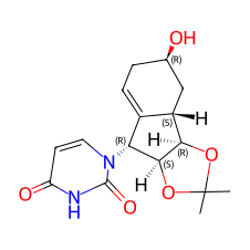 CC1(C)O[C@@H]2[C@H](O1)[C@H]1C[C@H](O)CC=C1[C@H]2n1ccc(=O)[nH]c1=O